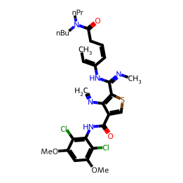 C=Nc1c(C(=O)Nc2c(Cl)c(OC)cc(OC)c2Cl)csc1/C(=N\C)NC(/C=C\CC(=O)N(CCC)CCCC)=C/C